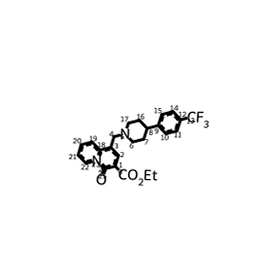 CCOC(=O)c1cc(CN2CCC(c3ccc(C(F)(F)F)cc3)CC2)c2ccccn2c1=O